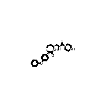 O=C1N[C@H](CNC(=O)N2CCNCC2)CCS[C@@H]1c1ccc(Oc2ccccc2)cc1